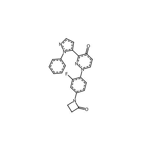 O=C1CCN1c1ccc(-n2ccc(=O)c(-c3ccnn3-c3ccccc3)n2)c(F)c1